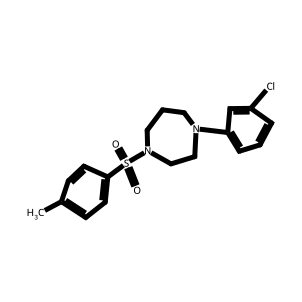 Cc1ccc(S(=O)(=O)N2CCCN(c3cccc(Cl)c3)CC2)cc1